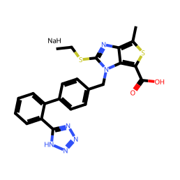 CCSc1nc2c(C)sc(C(=O)O)c2n1Cc1ccc(-c2ccccc2-c2nnn[nH]2)cc1.[NaH]